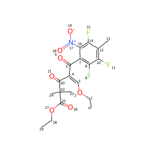 CCOC=C(C(=O)c1c(F)c(F)c(C)c(F)c1[N+](=O)[O-])C(=O)C(C)(C)C(=O)OCC